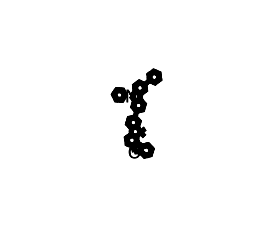 CC1(C)c2cc(-c3ccc4c5cc(-c6ccccc6)ccc5n(-c5ccccc5)c4c3)ccc2-c2ccc3oc4ccccc4c3c21